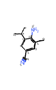 Cc1cc(C#N)cc(C(C)C)c1N